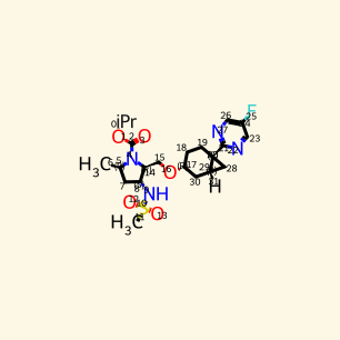 CC(C)OC(=O)N1[C@H](C)C[C@H](NS(C)(=O)=O)[C@@H]1CO[C@@H]1CC[C@]2(c3ncc(F)cn3)C[C@@H]2C1